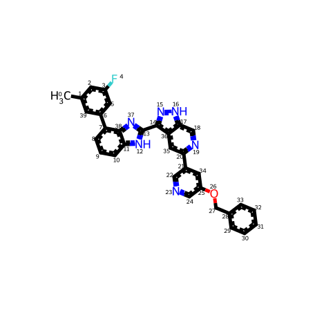 Cc1cc(F)cc(-c2cccc3[nH]c(-c4n[nH]c5cnc(-c6cncc(OCc7ccccc7)c6)cc45)nc23)c1